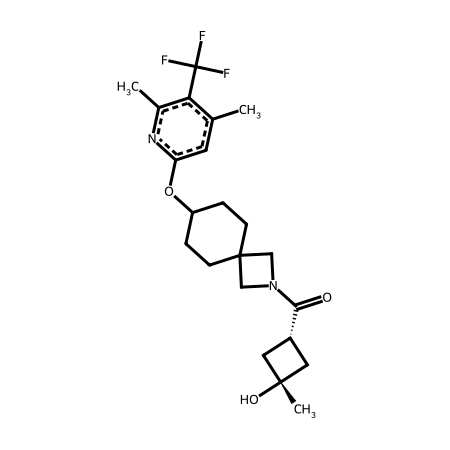 Cc1cc(OC2CCC3(CC2)CN(C(=O)[C@H]2C[C@@](C)(O)C2)C3)nc(C)c1C(F)(F)F